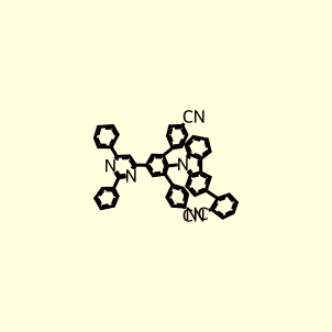 N#Cc1ccc(-c2cc(-c3cc(-c4ccccc4)nc(-c4ccccc4)n3)cc(-c3ccc(C#N)cc3)c2-n2c3ccccc3c3cc(-c4ccccc4C#N)ccc32)cc1